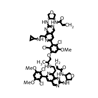 C=CC(=O)N[C@H]1COC[C@H]1Nc1ncc2cc(-c3c(Cl)c(OC)cc(OC)c3Cl)nc(CCNC(C)COc3cc(OC)c(Cl)c(-c4cc5cnc(N[C@@H]6COC[C@@H]6NC(=O)C=C)nc5c(CNC5CC5)n4)c3Cl)c2n1